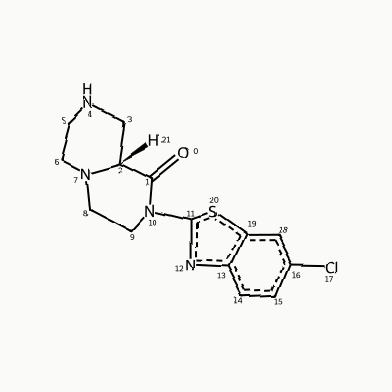 O=C1[C@H]2CNCCN2CCN1c1nc2ccc(Cl)cc2s1